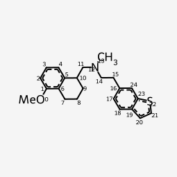 COc1cccc2c1CCCC2CN(C)CCc1ccc2ccsc2c1